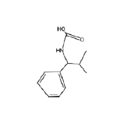 CC(C)C(NC(=O)O)c1ccccc1